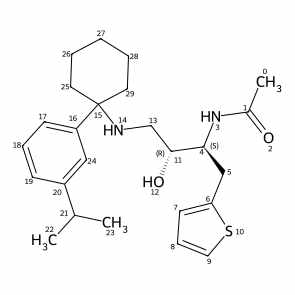 CC(=O)N[C@@H](Cc1cccs1)[C@H](O)CNC1(c2cccc(C(C)C)c2)CCCCC1